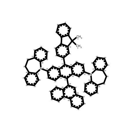 CC1(C)c2ccccc2-c2ccc(-c3c4cc(N5c6ccccc6CCc6ccccc65)ccc4c(-c4cc5ccccc5c5ccccc45)c4cc(N5c6ccccc6CCc6ccccc65)ccc34)cc21